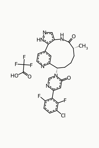 C[C@@H]1CCC[C@H](n2cnc(-c3c(F)ccc(Cl)c3F)cc2=O)c2cc(ccn2)-c2[nH]ncc2NC1=O.O=C(O)C(F)(F)F